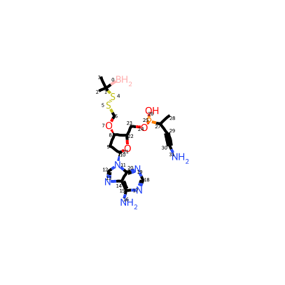 BC(C)(C)SSCO[C@@H]1C[C@H](n2cnc3c(N)ncnc32)OC1COP(O)C(C)C#CN